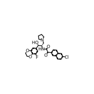 O=C(N[C@H](CN1CCCC1)[C@H](O)c1cc(F)c2c(c1)OCCO2)C(=O)c1ccc2cc(Cl)ccc2c1